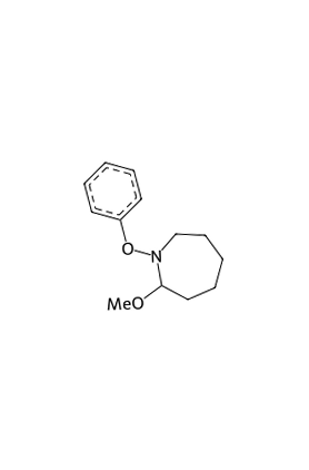 COC1CCCCCN1Oc1ccccc1